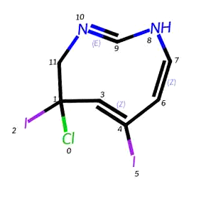 ClC1(I)/C=C(I)/C=C\N/C=N/C1